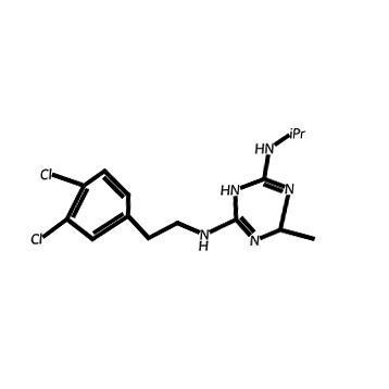 CC1N=C(NCCc2ccc(Cl)c(Cl)c2)NC(NC(C)C)=N1